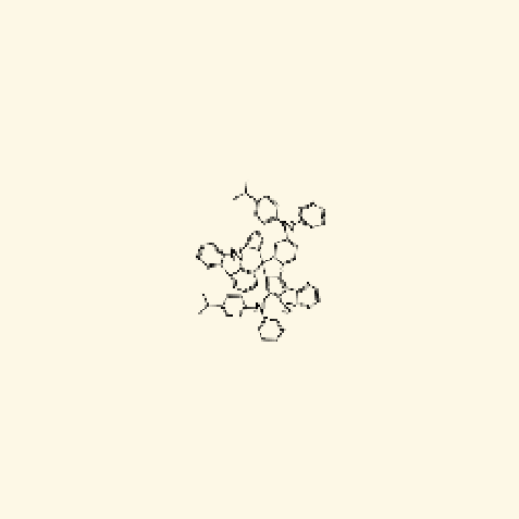 CC(C)c1ccc(N(c2ccccc2)c2ccc3c(c2)C2(c4ccccc4-n4c5ccccc5c5cccc2c54)c2cc(N(c4ccccc4)c4ccc(C(C)C)cc4)c4sc5ccccc5c4c2-3)cc1